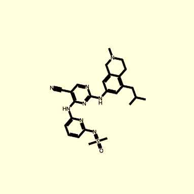 CC(C)Cc1cc(Nc2ncc(C#N)c(Nc3cccc(N=S(C)(C)=O)n3)n2)cc2c1CCN(C)C2